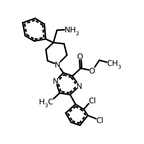 CCOC(=O)c1nc(-c2cccc(Cl)c2Cl)c(C)nc1N1CCC(CN)(c2ccccc2)CC1